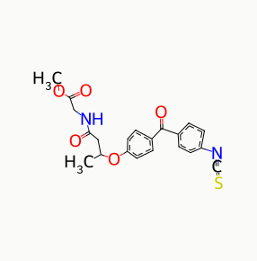 COC(=O)CNC(=O)CC(C)Oc1ccc(C(=O)c2ccc(N=C=S)cc2)cc1